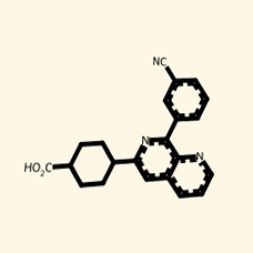 N#Cc1cccc(-c2nc(C3CCC(C(=O)O)CC3)cc3cccnc23)c1